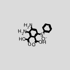 Nc1cc([S+]([O-])c2ccccc2)c(C(=O)O)c(C(=O)O)c1N